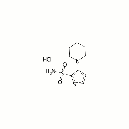 Cl.NS(=O)(=O)c1sccc1N1CCCCC1